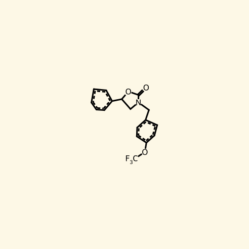 O=C1OC(c2ccccc2)CN1Cc1ccc(OC(F)(F)F)cc1